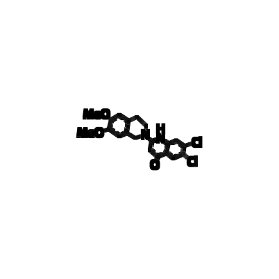 COc1cc2c(cc1OC)CN(c1cc(=O)c3cc(Cl)c(Cl)cc3[nH]1)CC2